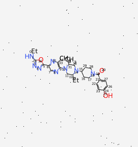 CCNc1nnc(-c2cnc(N3CC(CC)N(C4CCN(C(=O)c5ccc(O)cc5)CC4)CC3C)c(C)n2)o1